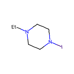 CCN1CCN(I)CC1